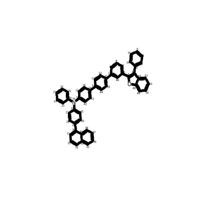 c1ccc(-c2c(-c3cccc(-c4ccc(-c5ccc(N(c6ccccc6)c6ccc(-c7cccc8ccccc78)cc6)cc5)cc4)c3)oc3ccccc23)cc1